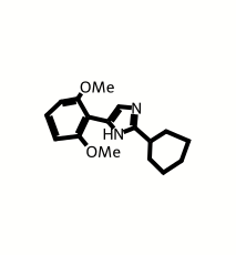 COc1cccc(OC)c1-c1cnc(C2CCCCC2)[nH]1